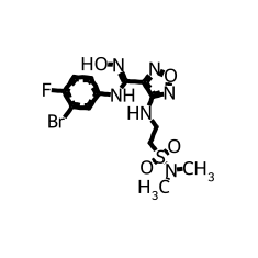 CN(C)S(=O)(=O)CCNc1nonc1/C(=N/O)Nc1ccc(F)c(Br)c1